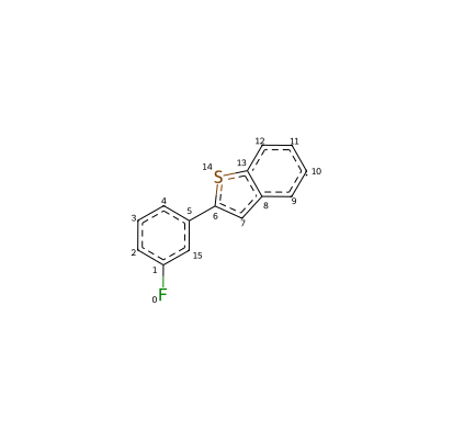 Fc1cccc(-c2cc3c[c]ccc3s2)c1